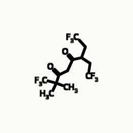 CC(C)(C(=O)CC(=O)C(CC(F)(F)F)CC(F)(F)F)C(F)(F)F